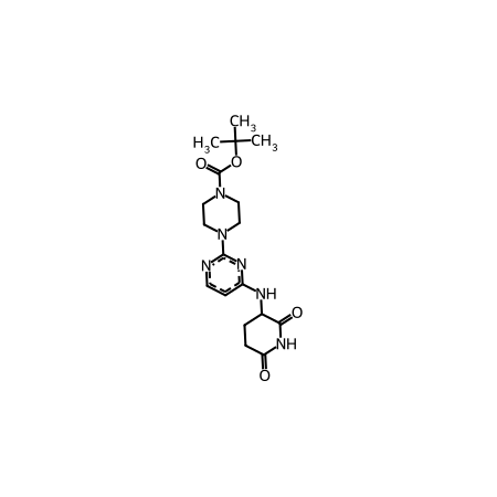 CC(C)(C)OC(=O)N1CCN(c2nccc(NC3CCC(=O)NC3=O)n2)CC1